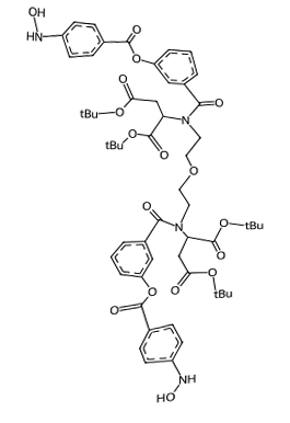 CC(C)(C)OC(=O)CC(C(=O)OC(C)(C)C)N(CCOCCN(C(=O)c1cccc(OC(=O)c2ccc(NO)cc2)c1)C(CC(=O)OC(C)(C)C)C(=O)OC(C)(C)C)C(=O)c1cccc(OC(=O)c2ccc(NO)cc2)c1